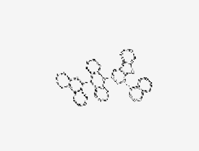 c1ccc2c(-c3cc(-c4c5ccccc5c(-c5cc6ccccc6c6ccccc56)c5ccccc45)cc4c3oc3ccccc34)cccc2c1